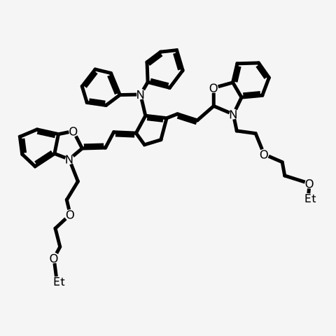 CCOCCOCCN1/C(=C/C=C2\CCC(/C=C/C3Oc4ccccc4N3CCOCCOCC)=C2N(c2ccccc2)c2ccccc2)Oc2ccccc21